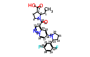 CCC1C(C(=O)O)CCN1C(=O)c1cnn2ccc(N3CCCC3c3cc(F)ccc3F)cc12